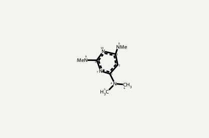 CNc1cc(N(C)C)nc(NC)n1